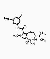 CC(C)C1C=Cc2c(cn(C)c2C(=O)Nc2cc(F)nc(C#N)c2)S(=N)(=O)N1